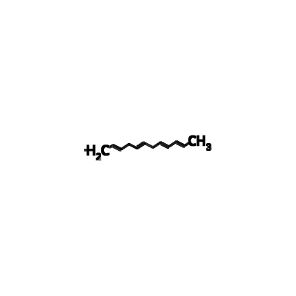 [CH2]/C=C/C/C=C/C/C=C/C=C/C